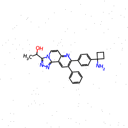 CC(O)c1nnc2c3cc(-c4ccccc4)c(-c4ccc(C5(N)CCC5)cc4)nc3ccn12